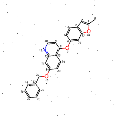 Cc1cc2ccc(Oc3ccnc4cc(OCc5ccccc5)ccc34)cc2o1